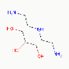 NCCNCCN.OCC(O)CO